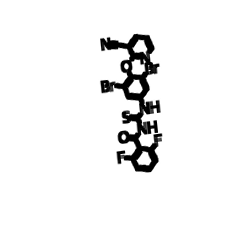 N#Cc1cccnc1Oc1c(Br)cc(NC(=S)NC(=O)c2c(F)cccc2F)cc1Br